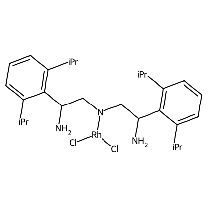 CC(C)c1cccc(C(C)C)c1C(N)C[N](CC(N)c1c(C(C)C)cccc1C(C)C)[Rh]([Cl])[Cl]